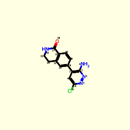 Nc1nnc(Cl)cc1-c1ccc2c(c1)CCNC2=O